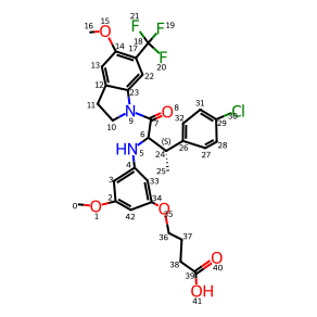 COc1cc(NC(C(=O)N2CCc3cc(OC)c(C(F)(F)F)cc32)[C@@H](C)c2ccc(Cl)cc2)cc(OCCCC(=O)O)c1